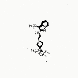 C[N+](C)(C)C1CCN(CCNc2nn3ccccc3c2N)C1